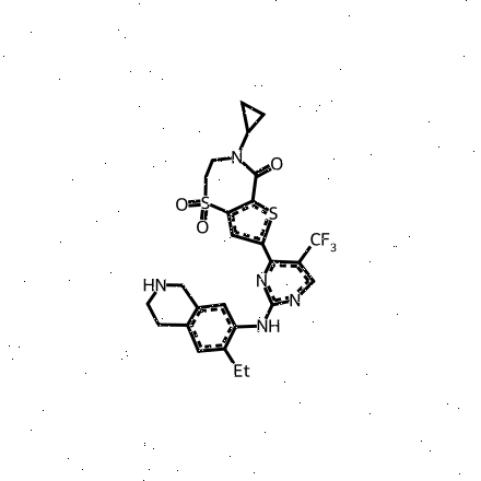 CCc1cc2c(cc1Nc1ncc(C(F)(F)F)c(-c3cc4c(s3)C(=O)N(C3CC3)CCS4(=O)=O)n1)CNCC2